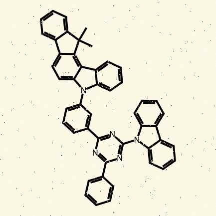 CC1(C)c2ccccc2-c2ccc3c(c21)c1ccccc1n3-c1cccc(-c2nc(-c3ccccc3)nc(-n3c4ccccc4c4ccccc43)n2)c1